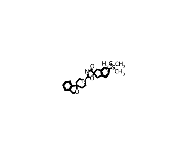 CS(C)(C)c1ccc2c(c1)CC1(C2)OC(N2CCC3(CC2)OCc2ccccc23)=NC1=O